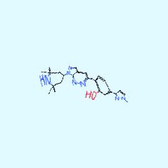 Cn1ccc(-c2ccc(-c3cc4cnn(C5CC(C)(C)NC(C)(C)C5)c4nn3)c(O)c2)n1